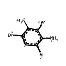 Nc1c(Br)cc(Br)c(N)c1Br